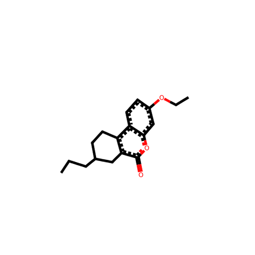 CCCC1CCc2c(c(=O)oc3cc(OCC)ccc23)C1